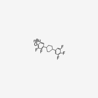 CCCCOc1ccc(C2CCC(c3cc(F)c(F)c(F)c3)CC2)c(F)c1F